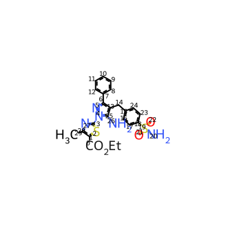 CCOC(=O)c1sc(-n2nc(-c3ccccc3)c(Cc3ccc(S(N)(=O)=O)cc3)c2N)nc1C